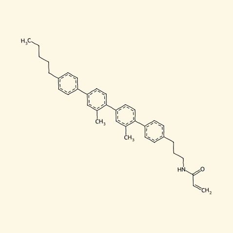 C=CC(=O)NCCCc1ccc(-c2ccc(-c3ccc(-c4ccc(CCCCC)cc4)cc3C)cc2C)cc1